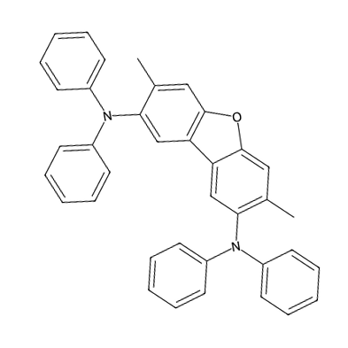 Cc1cc2oc3cc(C)c(N(c4ccccc4)c4ccccc4)cc3c2cc1N(c1ccccc1)c1ccccc1